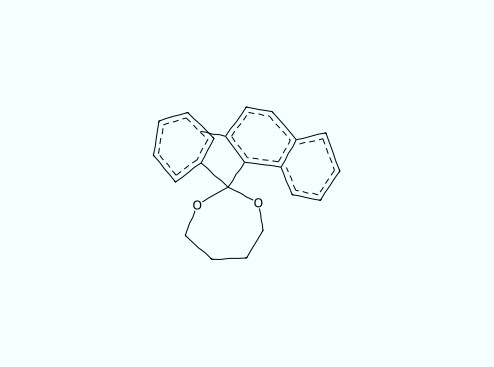 Cc1ccc2ccccc2c1C1(c2ccccc2)OCCCCO1